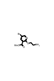 COC(=O)c1cc(Br)cnc1OCCN